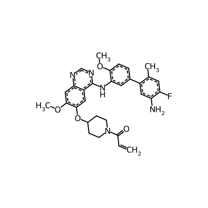 C=CC(=O)N1CCC(Oc2cc3c(Nc4cc(-c5cc(N)c(F)cc5C)ccc4OC)ncnc3cc2OC)CC1